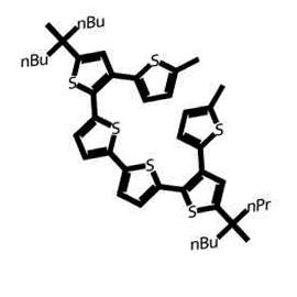 CCCCC(C)(CCC)c1cc(-c2ccc(C)s2)c(-c2ccc(-c3ccc(-c4sc(C(C)(CCCC)CCCC)cc4-c4ccc(C)s4)s3)s2)s1